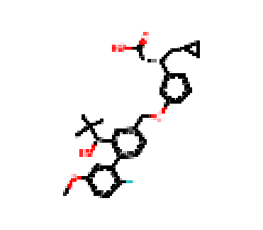 COc1ccc(F)c(-c2ccc(COc3cccc([C@H](CC(=O)O)CC4CC4)c3)cc2[C@@H](O)C(C)(C)C)c1